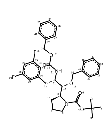 CC(C)(C)OC(=O)N1CCC[C@H]1[C@@H](OCc1ccccc1)[C@H](Cc1cc(F)cc(F)c1)NC(=O)OCc1ccccc1